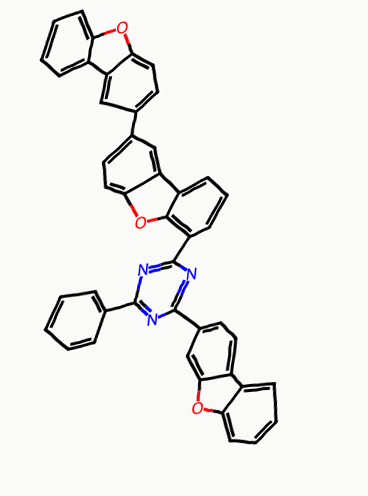 c1ccc(-c2nc(-c3ccc4c(c3)oc3ccccc34)nc(-c3cccc4c3oc3ccc(-c5ccc6oc7ccccc7c6c5)cc34)n2)cc1